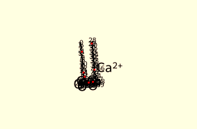 CCCCCCCCCCCCCCCCCCc1ccccc1S(=O)(=O)[O-].CCCCCCCCCCCCCCCCCCc1ccccc1S(=O)(=O)[O-].[Ca+2]